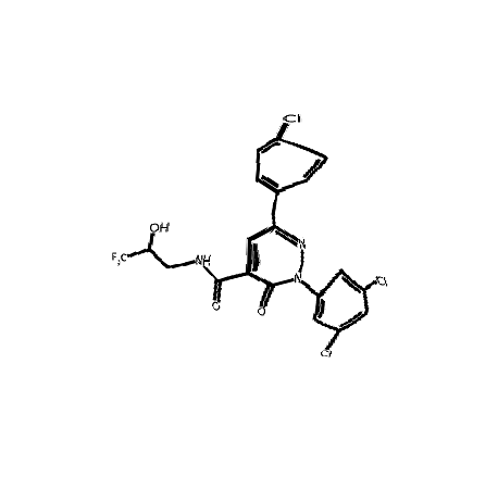 O=C(NCC(O)C(F)(F)F)c1cc(-c2ccc(Cl)cc2)nn(-c2cc(Cl)cc(Cl)c2)c1=O